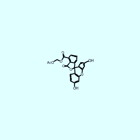 CC(=O)OCOC(=O)c1cccc2c1C(=O)OC21c2ccc(O)cc2Oc2cc(O)ccc21